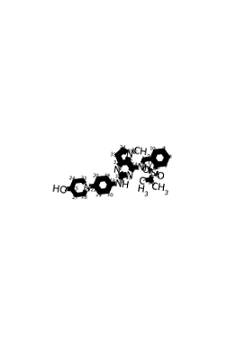 CC(C)S(=O)(=O)c1ccccc1CNc1nc(Nc2ccc(N3CCC(O)CC3)cc2)nc2ccn(C)c12